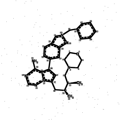 C[C@H](CN1CCOCC1)[C@@H](C)Cc1cc(-c2ccc3cn(Cc4ccccc4)nc3c2)c2c(N)ncnn12